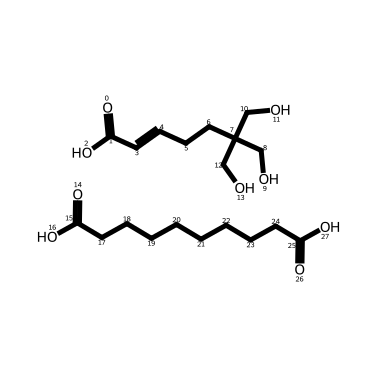 O=C(O)C=CCCC(CO)(CO)CO.O=C(O)CCCCCCCCC(=O)O